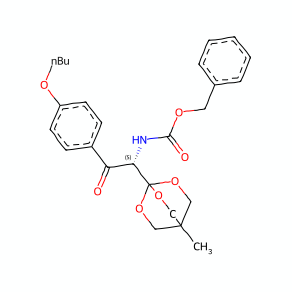 CCCCOc1ccc(C(=O)[C@H](NC(=O)OCc2ccccc2)C23OCC(C)(CO2)CO3)cc1